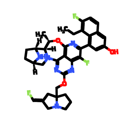 CCc1c(F)ccc2cc(O)cc(-c3nc4c5c(nc(OCC67CCCN6CC(=CF)C7)nc5c3F)N3C[C@H]5CC[C@H](N5)[C@H]3[C@H](C)O4)c12